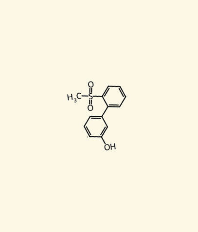 CS(=O)(=O)c1ccccc1-c1cc[c]c(O)c1